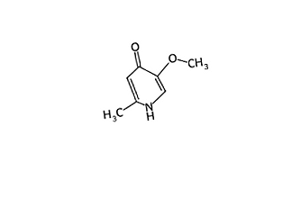 COc1c[nH]c(C)cc1=O